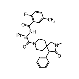 CC(C)[C@@H](NC(=O)c1cc(C(F)(F)F)ccc1F)C(=O)N1CCC2(CC1)CN(C)C(=O)C2c1ccccc1